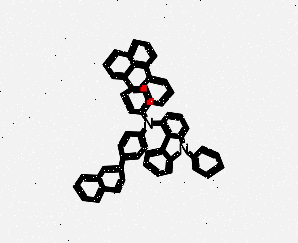 c1ccc(-c2cccc3cccc(-c4ccc(N(c5ccc(-c6ccc7ccccc7c6)cc5)c5cccc6c5c5ccccc5n6-c5ccccc5)cc4)c23)cc1